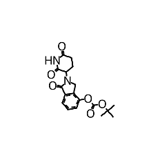 CC(C)(C)OC(=O)Oc1cccc2c1CN(C1CCC(=O)NC1=O)C2=O